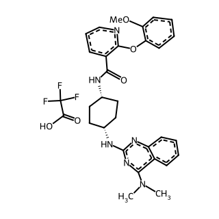 COc1ccccc1Oc1ncccc1C(=O)N[C@H]1CC[C@@H](Nc2nc(N(C)C)c3ccccc3n2)CC1.O=C(O)C(F)(F)F